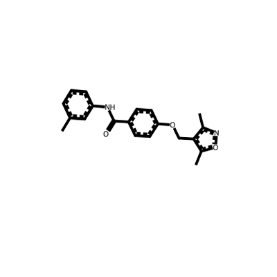 Cc1cccc(NC(=O)c2ccc(OCc3c(C)noc3C)cc2)c1